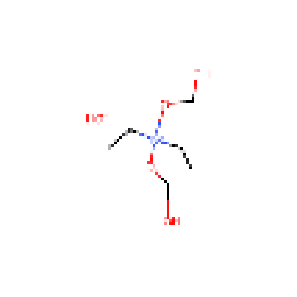 CC[N+](CC)(OCO)OCO.[OH-]